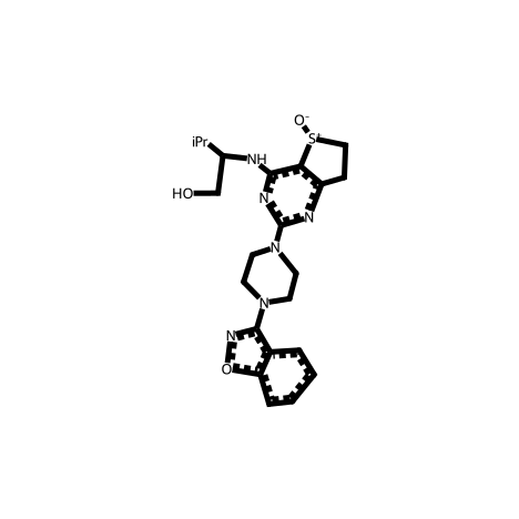 CC(C)C(CO)Nc1nc(N2CCN(c3noc4ccccc34)CC2)nc2c1[S+]([O-])CC2